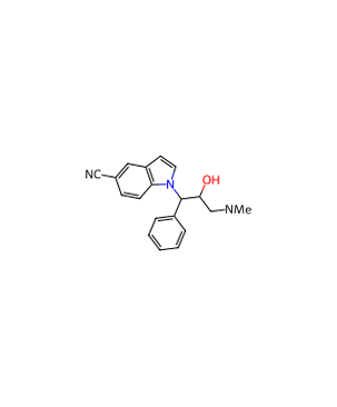 CNCC(O)C(c1ccccc1)n1ccc2cc(C#N)ccc21